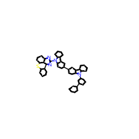 c1ccc(-c2cccc(-n3c4ccccc4c4cc(-c5ccc6c(c5)c5ccccc5n6-c5nc6c7c(cccc7n5)Sc5ccccc5-6)ccc43)c2)cc1